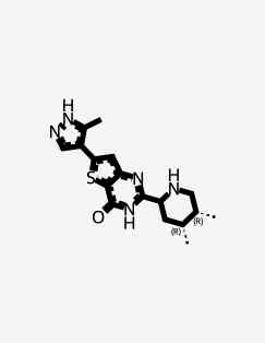 Cc1[nH]ncc1-c1cc2nc(C3C[C@@H](C)[C@@H](C)CN3)[nH]c(=O)c2s1